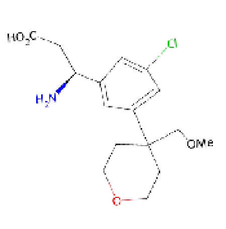 COCC1(c2cc(Cl)cc([C@@H](N)CC(=O)O)c2)CCOCC1